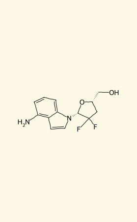 Nc1cccc2c1ccn2[C@@H]1O[C@H](CO)CC1(F)F